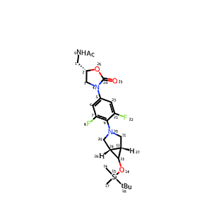 CC(=O)NC[C@H]1CN(c2cc(F)c(N3C[C@@H]4C(O[Si](C)(C)C(C)(C)C)[C@@H]4C3)c(F)c2)C(=O)O1